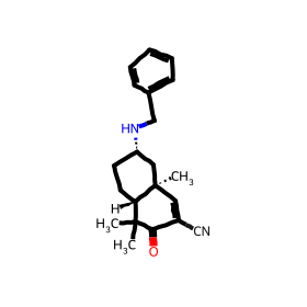 CC1(C)C(=O)C(C#N)=C[C@]2(C)C[C@@H](NCc3ccccc3)CC[C@@H]12